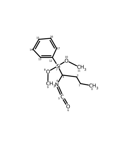 CCCC(N=C=O)[Si](OC)(OC)c1ccccc1